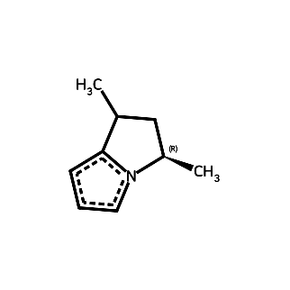 CC1C[C@@H](C)n2cccc21